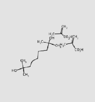 C=C(C)C(=O)O.C=C(C)C(=O)O.CC(C)(O)CCCCCC(C)(C)O